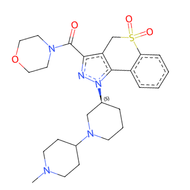 CN1CCC(N2CCC[C@H](n3nc(C(=O)N4CCOCC4)c4c3-c3ccccc3S(=O)(=O)C4)C2)CC1